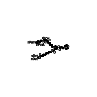 CCCCCCCCC(CCCCCCCC)OC(=O)CCCCCCCOC(=O)[C@@H]1C[C@H](OC(=O)CCN2CCOCC2)CN1CCCCCCC(C)(C)C(=O)OCCCC(CCCCC)CCCCC